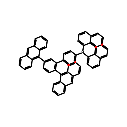 c1ccc2c(N(c3ccc(-c4cc(-c5c6ccccc6cc6ccccc56)ccc4-c4c5ccccc5cc5ccccc45)cc3)c3cccc4ccccc34)cccc2c1